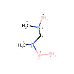 BBN(C)CN(B)C